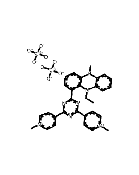 CCN1c2ccccc2N(C)c2cccc(-c3nc(-c4cc[n+](C)cc4)nc(-c4cc[n+](C)cc4)n3)c21.[O-][Cl+3]([O-])([O-])[O-].[O-][Cl+3]([O-])([O-])[O-]